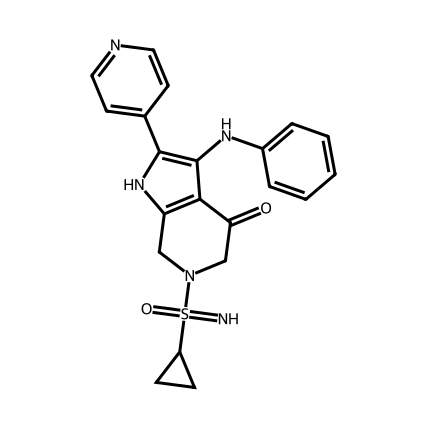 N=S(=O)(C1CC1)N1CC(=O)c2c([nH]c(-c3ccncc3)c2Nc2ccccc2)C1